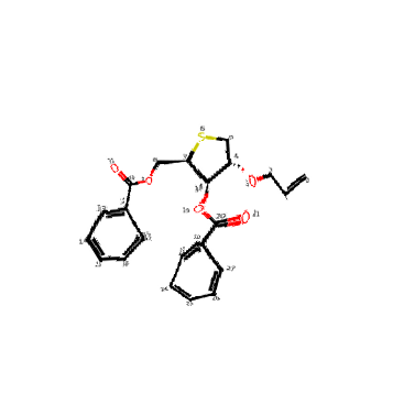 C=CCO[C@H]1CS[C@H](COC(=O)c2ccccc2)[C@@H]1OC(=O)c1ccccc1